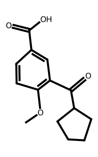 COc1ccc(C(=O)O)cc1C(=O)C1CCCC1